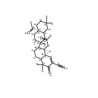 CC(=O)CC1[C@@]2(C)C=C(C#N)C(=O)C(C)(C)C2CC[C@@]1(C)[C@]1(C)CC[C@@]2(C(C)=O)CCC(C)(C)CC2C1